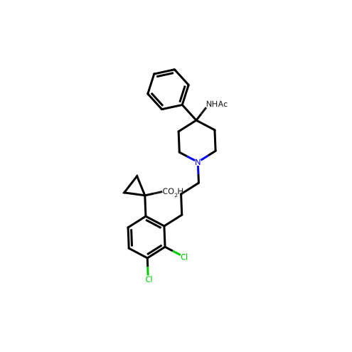 CC(=O)NC1(c2ccccc2)CCN(CCCc2c(C3(C(=O)O)CC3)ccc(Cl)c2Cl)CC1